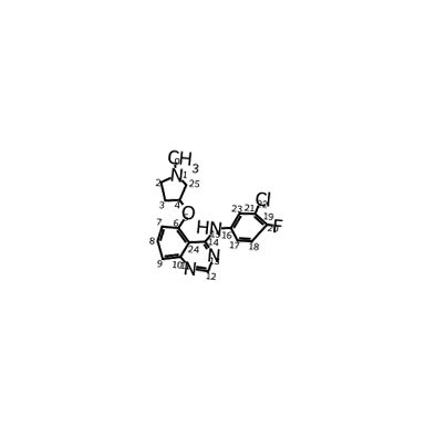 CN1CCC(Oc2cccc3ncnc(Nc4ccc(F)c(Cl)c4)c23)C1